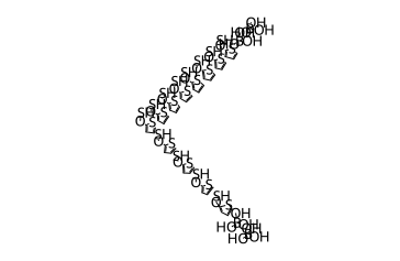 OB(O)O.OB(O)O.OB(O)O.OB(O)O.SOc1cccs1.SOc1cccs1.SOc1cccs1.SOc1cccs1.SOc1cccs1.SOc1cccs1.SOc1cccs1.SOc1cccs1.SOc1cccs1.SOc1cccs1.SOc1cccs1.SOc1cccs1